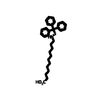 O=C(O)CCCCCCCCCCCNSC(c1ccccc1)(c1ccccc1)c1ccccc1